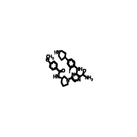 COc1ccc(C(=O)N[C@@H]2CCCN(c3cnc(C(N)=O)c(Nc4ccc(C5CCNCC5)cc4I)n3)C2)cc1